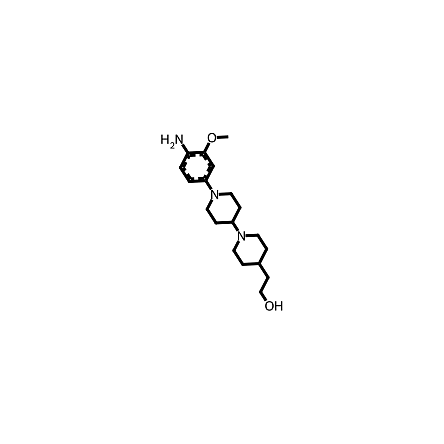 COc1cc(N2CCC(N3CCC(CCO)CC3)CC2)ccc1N